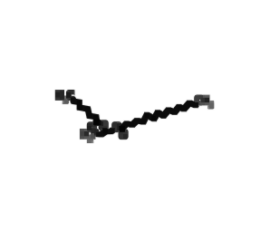 CCCCCCCCCCCCCCCC(=O)OCC(CP)OC(=O)CCCCCCC